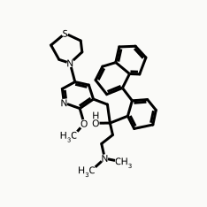 COc1ncc(N2CCSCC2)cc1CC(O)(CCN(C)C)c1ccccc1-c1cccc2ccccc12